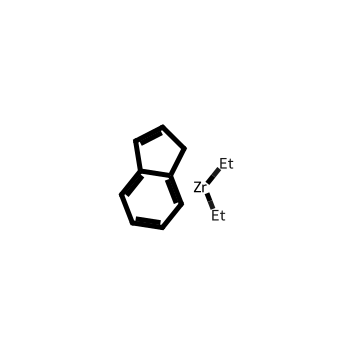 C1=Cc2ccccc2C1.C[CH2][Zr][CH2]C